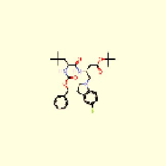 CC(C)(C)C[C@H](NC(=O)OCc1ccccc1)C(=O)N[C@@H](CC(=O)OC(C)(C)C)CN1CCc2cc(F)ccc21